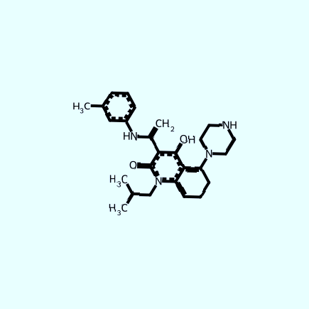 C=C(Nc1cccc(C)c1)c1c(O)c2c(n(CC(C)C)c1=O)=CCCC=2N1CCNCC1